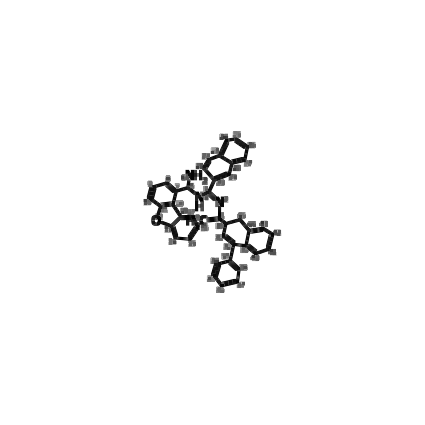 C=C(/N=C(\NC(N)c1cc#cc2oc3ccccc3c12)c1ccc2ccccc2c1)C1C=C(c2c#cccc2)c2ccccc2C1